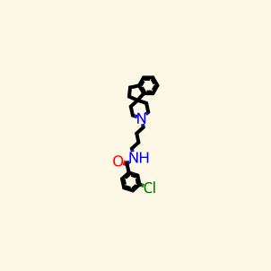 O=C(NCCCCN1CCC2(CCc3ccccc32)CC1)c1cccc(Cl)c1